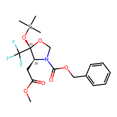 COC(=O)C[C@@H]1N(C(=O)OCc2ccccc2)CO[C@@]1(O[Si](C)(C)C)C(F)(F)F